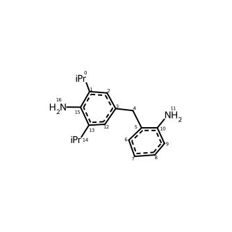 CC(C)c1cc(Cc2ccccc2N)cc(C(C)C)c1N